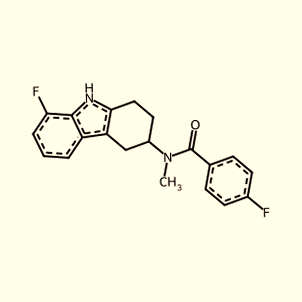 CN(C(=O)c1ccc(F)cc1)C1CCc2[nH]c3c(F)cccc3c2C1